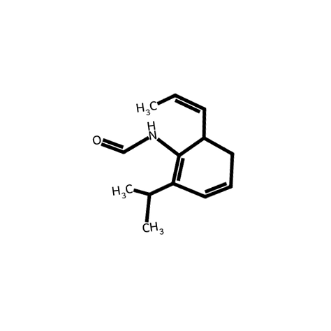 C/C=C\C1CC=CC(C(C)C)=C1NC=O